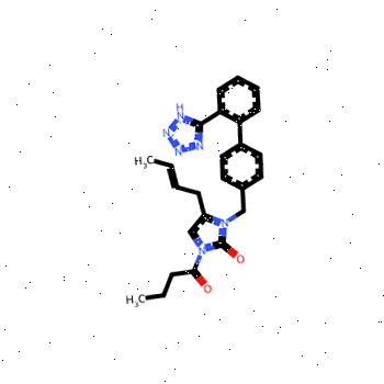 CC=CCc1cn(C(=O)CCC)c(=O)n1Cc1ccc(-c2ccccc2-c2nnn[nH]2)cc1